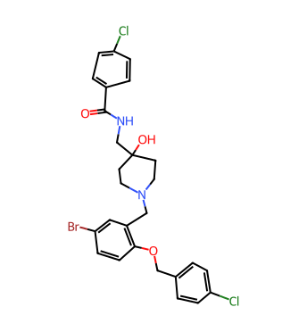 O=C(NCC1(O)CCN(Cc2cc(Br)ccc2OCc2ccc(Cl)cc2)CC1)c1ccc(Cl)cc1